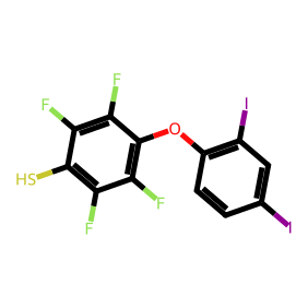 Fc1c(F)c(Oc2ccc(I)cc2I)c(F)c(F)c1S